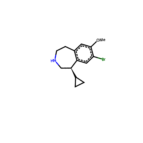 COc1cc2c(cc1Br)[C@@H](C1CC1)CNCC2